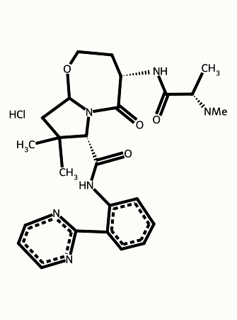 CN[C@@H](C)C(=O)N[C@H]1CCOC2CC(C)(C)[C@@H](C(=O)Nc3ccccc3-c3ncccn3)N2C1=O.Cl